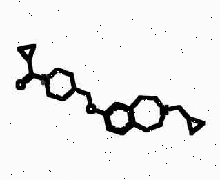 O=C(C1CC1)N1CCC(COc2ccc3c(c2)CCN(CC2CC2)CC3)CC1